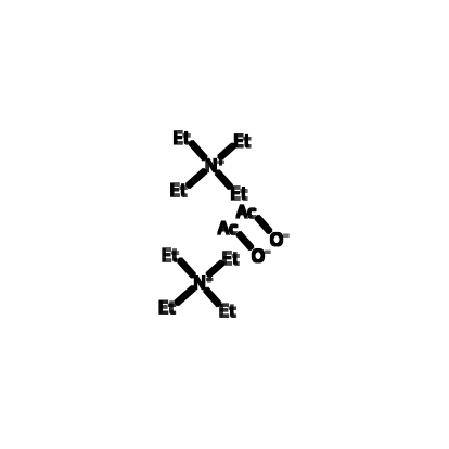 CC(=O)[O-].CC(=O)[O-].CC[N+](CC)(CC)CC.CC[N+](CC)(CC)CC